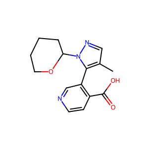 Cc1cnn(C2CCCCO2)c1-c1cnccc1C(=O)O